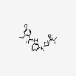 CCc1cc(Cl)ccc1C(=O)Nc1cncc(N(C)C2CN([S+]([O-])C(C)C)C2)c1